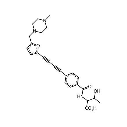 CC(O)C(NC(=O)c1ccc(C#CC#Cc2ccc(CN3CCN(C)CC3)o2)cc1)C(=O)O